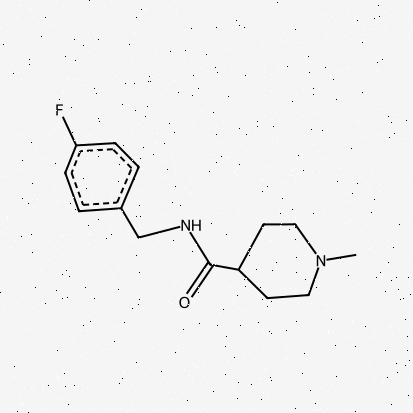 CN1CCC(C(=O)NCc2ccc(F)cc2)CC1